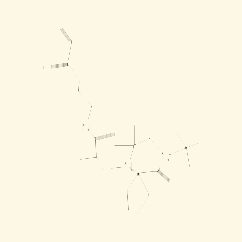 C=CC(=O)OCCNC(=O)C(C)ON1C(C)(C)CN(C(C)(C)C)C(=O)C1(CC)CC